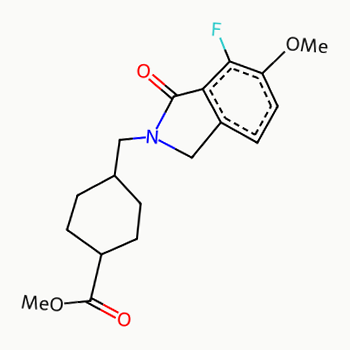 COC(=O)C1CCC(CN2Cc3ccc(OC)c(F)c3C2=O)CC1